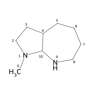 CN1CCC2CCCCNC21